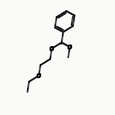 CCOCCO[C](OC)c1ccccc1